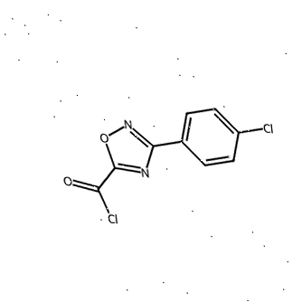 O=C(Cl)c1nc(-c2ccc(Cl)cc2)no1